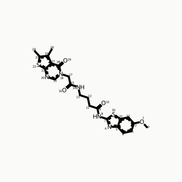 COc1ccc2nc(NC(=O)CCCNC(=O)Cn3cnc4sc(C)c(C)c4c3=O)sc2c1